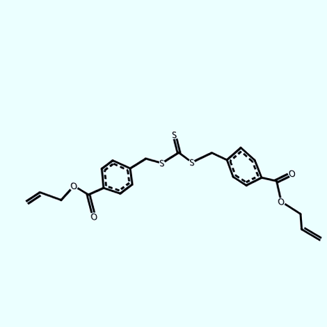 C=CCOC(=O)c1ccc(CSC(=S)SCc2ccc(C(=O)OCC=C)cc2)cc1